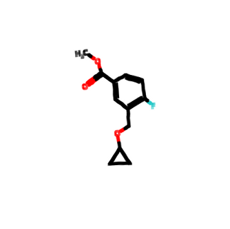 COC(=O)c1ccc(F)c(COC2CC2)c1